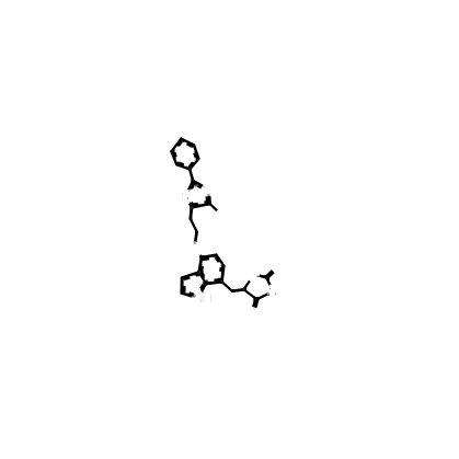 Cc1oc(-c2ccccc2)nc1CCOc1ccc(CC2SC(=O)NC2=O)c2[nH]ccc12